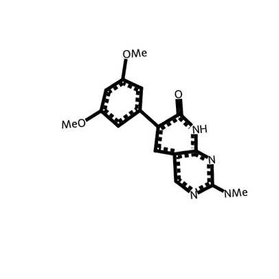 CNc1ncc2cc(-c3cc(OC)cc(OC)c3)c(=O)[nH]c2n1